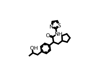 CC(O)Cc1ccc(C(CC2CCCC2)C(=O)Nc2nccs2)cc1